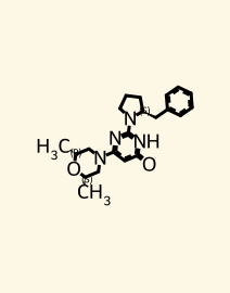 C[C@@H]1CN(c2cc(=O)[nH]c(N3CCC[C@H]3Cc3ccccc3)n2)C[C@H](C)O1